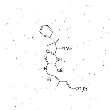 CCOC(=O)/C=C/C(C)=C/[C@H](C(C)C)N(C)C(=O)C(NC(=O)[C@@H](NC)C(C)(C)c1ccccc1)C(C)(C)C